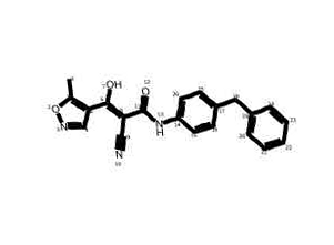 Cc1oncc1/C(O)=C(\C#N)C(=O)Nc1ccc(Cc2ccccc2)cc1